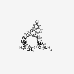 C[C@@H]1[C@@H](C)CCC[C@@H]([C@H]2OC[C@H](N)CO2)[C@@H]2CC[C@H]2CN2C[C@@]3(CCCc4cc(Cl)ccc43)COc3ccc(cc32)C(=O)NS1(=O)=O